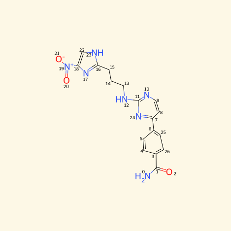 NC(=O)c1ccc(-c2ccnc(NCCCc3nc([N+](=O)[O-])c[nH]3)n2)cc1